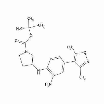 Cc1noc(C)c1-c1ccc(NC2CCN(C(=O)OC(C)(C)C)C2)c(N)c1